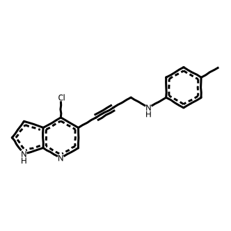 Cc1ccc(NCC#Cc2cnc3[nH]ccc3c2Cl)cc1